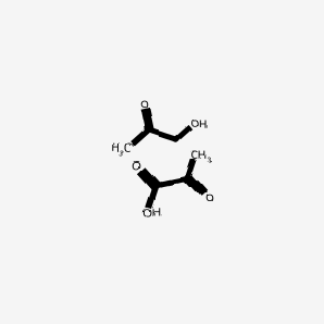 CC(=O)C(=O)O.CC(=O)CO